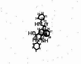 N=C(NC1CCCCC1)c1c(C(=O)O)cc(C(=O)NC2CCCCC2)c2c3ccc(c(=O)[nH]c3=O)c12